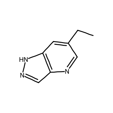 CCc1cnc2cn[nH]c2c1